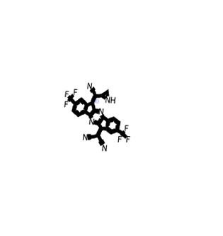 N#CC(C#N)=C1c2cc(C(F)(F)F)ccc2-c2nc3c(nc21)-c1ccc(C(F)(F)F)cc1/C3=C(\C#N)C1CN1